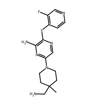 CC1(CN)CCN(c2cnc(Sc3ccncc3F)c(N)n2)CC1